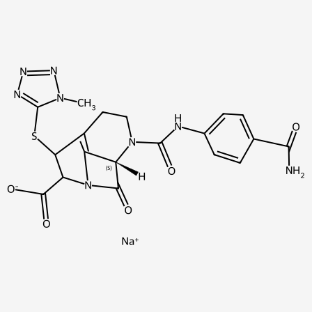 Cn1nnnc1SC1C2=C3[C@@H](C(=O)N3C1C(=O)[O-])N(C(=O)Nc1ccc(C(N)=O)cc1)CC2.[Na+]